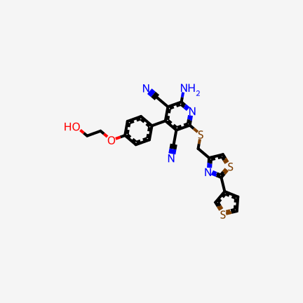 N#Cc1c(N)nc(SCc2csc(-c3ccsc3)n2)c(C#N)c1-c1ccc(OCCO)cc1